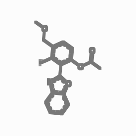 COCc1ccc(OC(C)=O)c(-c2nc3ccccc3o2)c1F